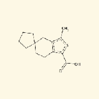 Cc1sc(C(=O)O)c2c1CC1(CCCC1)CC2